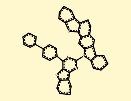 c1ccc(-c2ccc(-c3nc(-n4c5ccccc5c5cc6ccc7c8ccccc8sc7c6cc54)nc4c3sc3ccccc34)cc2)cc1